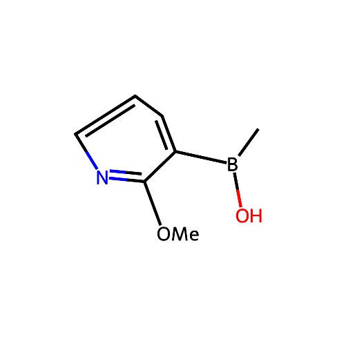 COc1ncccc1B(C)O